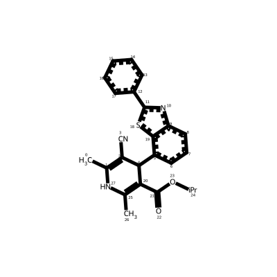 CC1=C(C#N)C(c2cccc3nc(-c4ccccc4)sc23)C(C(=O)OC(C)C)=C(C)N1